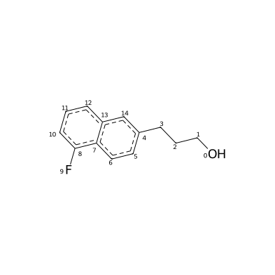 OCCCc1ccc2c(F)cccc2c1